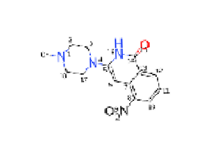 CN1CCN(c2cc3c([N+](=O)[O-])cccc3c(=O)[nH]2)CC1